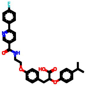 CC(C)c1ccc(OC(Cc2ccc(OCCNC(=O)c3ccc(-c4ccc(F)cc4)nc3)cc2)C(=O)O)cc1